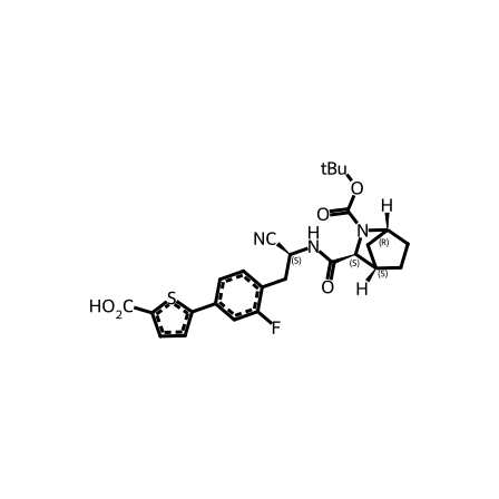 CC(C)(C)OC(=O)N1[C@@H]2CC[C@@H](C2)[C@H]1C(=O)N[C@H](C#N)Cc1ccc(-c2ccc(C(=O)O)s2)cc1F